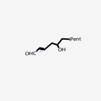 CCCC(C)CC(O)C/C=C/C=O